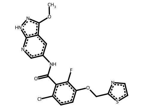 COc1n[nH]c2ncc(NC(=O)c3c(Cl)ccc(OCc4nccs4)c3F)cc12